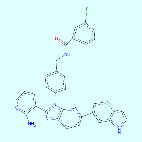 Nc1ncccc1-c1nc2ccc(-c3ccc4cc[nH]c4c3)nc2n1-c1ccc(CNC(=O)c2cccc(F)c2)cc1